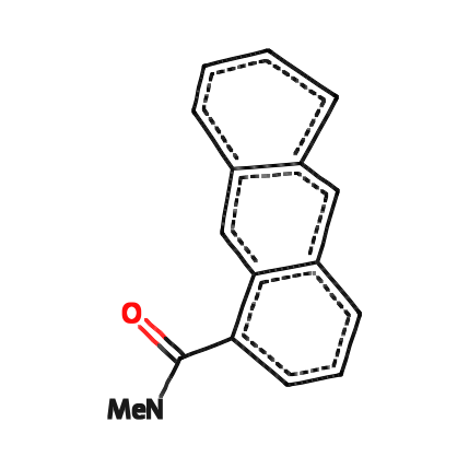 [CH2]NC(=O)c1cccc2cc3ccccc3cc12